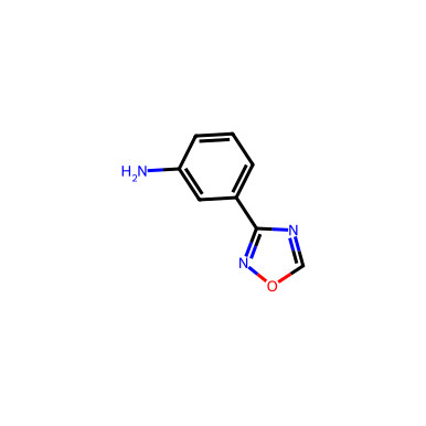 Nc1cccc(-c2ncon2)c1